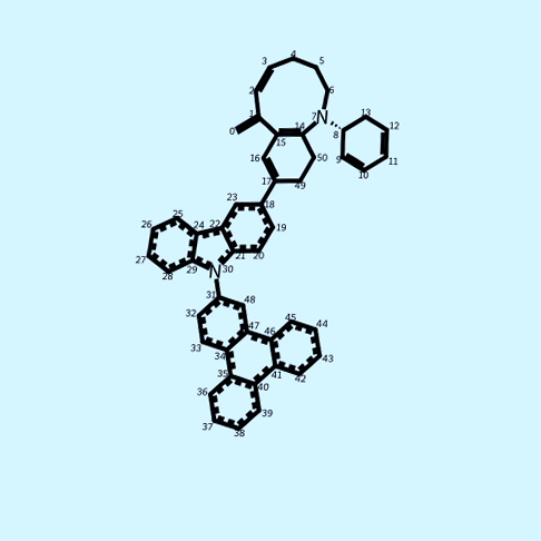 C=C1/C=C\CCCN([C@H]2C=CC=CC2)C2=C1C=C(c1ccc3c(c1)c1ccccc1n3-c1ccc3c4ccccc4c4ccccc4c3c1)CC2